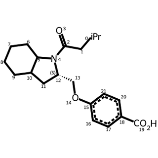 CC(C)CC(=O)N1C2CCCCC2C[C@H]1COc1ccc(C(=O)O)cc1